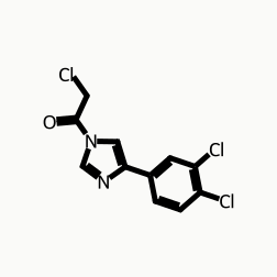 O=C(CCl)n1cnc(-c2ccc(Cl)c(Cl)c2)c1